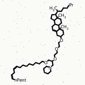 CCCCC/C=C\C/C=C\CCCCCCCCOCC(CN1CCCCC1)OCCOCCOC1CCC2(C)C(=CCC3C2CCC2(C)C(C(C)CCCC(C)C)CCC32)C1